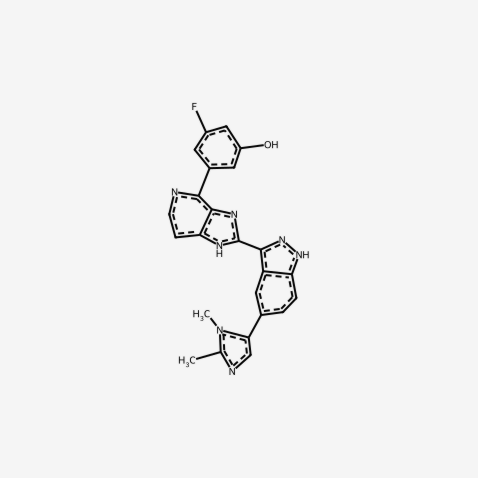 Cc1ncc(-c2ccc3[nH]nc(-c4nc5c(-c6cc(O)cc(F)c6)nccc5[nH]4)c3c2)n1C